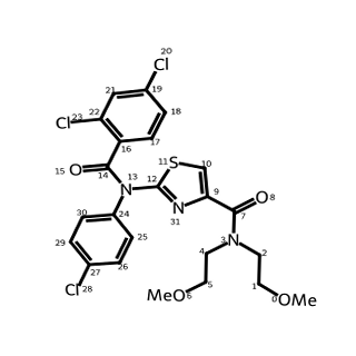 COCCN(CCOC)C(=O)c1csc(N(C(=O)c2ccc(Cl)cc2Cl)c2ccc(Cl)cc2)n1